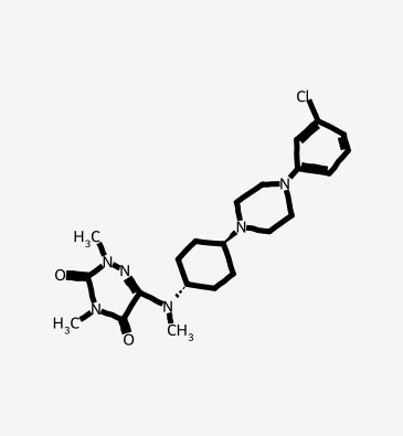 Cn1nc(N(C)[C@H]2CC[C@H](N3CCN(c4cccc(Cl)c4)CC3)CC2)c(=O)n(C)c1=O